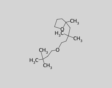 CC(C)(C)CCOCCC(C)(C)CC1(C)CCCO1